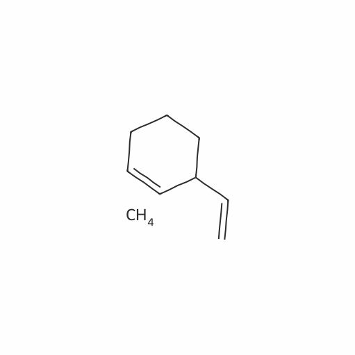 C.C=CC1C=CCCC1